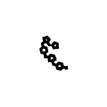 Clc1ccc(Cc2nccc(OC3CCN(Cc4nccn4C[C@H]4CCOC4)CC3)n2)cc1